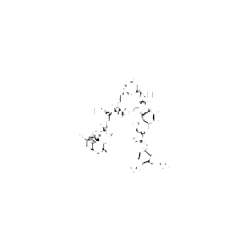 COc1ccc(C[C@H]2COC(=O)[C@@H]2Cc2ccc(OC(=O)N[C@@H]3CCCN(CCOC(=O)[C@@H](N)COC(=O)NC45CC6CC(C)(CC(C)(C6)C4)C5)C3)c(OC)c2)cc1OC